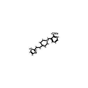 COc1ncccc1CN1CCC(CCc2nccs2)CC1